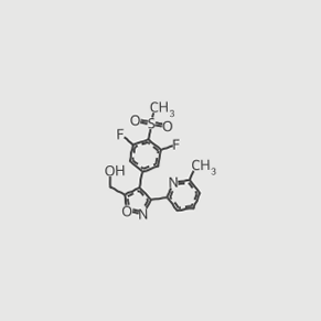 Cc1cccc(-c2noc(CO)c2-c2cc(F)c(S(C)(=O)=O)c(F)c2)n1